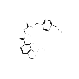 CCSc1ccc(COC(=O)CNC(=O)c2ccc3c(c2C)B(O)OC3)cc1